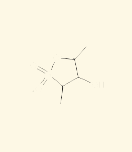 CC1OS(=O)(=O)C(C)C1O